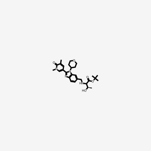 Cc1cc(-c2nc3ccc(CNC(C(=O)OC(C)(C)C)[C@@H](C)O)cc3n2C2CCOCC2)cn(C)c1=O